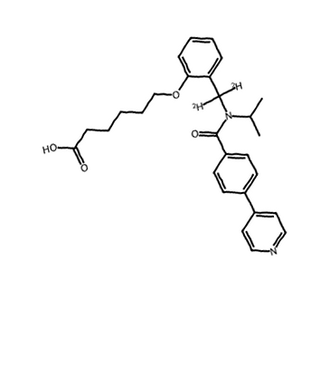 [2H]C([2H])(c1ccccc1OCCCCCC(=O)O)N(C(=O)c1ccc(-c2ccncc2)cc1)C(C)C